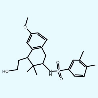 COc1ccc2c(c1)C(CCO)C(C)(C)C(NS(=O)(=O)c1ccc(C)c(C)c1)C2